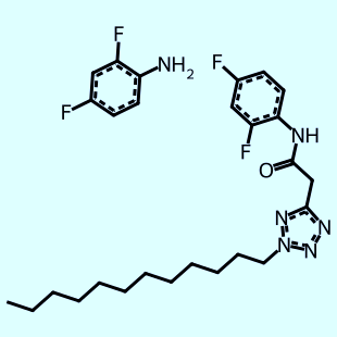 CCCCCCCCCCCCn1nnc(CC(=O)Nc2ccc(F)cc2F)n1.Nc1ccc(F)cc1F